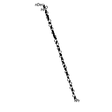 CCCCCCCCCCCCC(=O)NCCOCCOCCOCCOCCOCCOCCOCCOCCOCCOCCOCCOCCOCCOCCOCCOCCOCCOCCOCCOCCOCCOCCOCCC